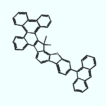 CC1(C)c2c(ccc3c2sc2cc(-c4c5ccccc5cc5ccccc45)ccc23)-c2c1c1c3ccccc3c3ccccc3c1c1ccccc21